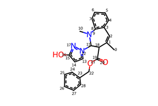 CC1=Cc2ccccc2N(C)C(n2ccc(O)n2)C1C(=O)OCc1ccccc1